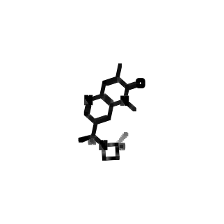 Cc1cc2ncc([C@H](C)N3CC[C@H]3C)cc2n(C)c1=O